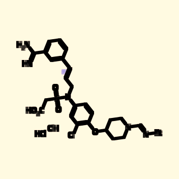 CCN=CN1CCC(Oc2ccc(N(C/C=C/c3cccc(C(=N)N)c3)S(=O)(=O)CC(=O)O)cc2Cl)CC1.Cl.Cl